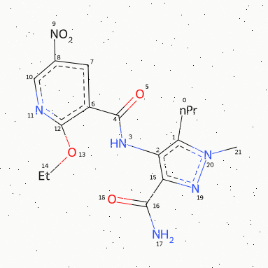 CCCc1c(NC(=O)c2cc([N+](=O)[O-])cnc2OCC)c(C(N)=O)nn1C